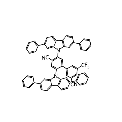 N#Cc1cc(-c2cc(-n3c4cc(-c5ccccc5)ccc4c4ccc(-c5ccccc5)cc43)c(C#N)cc2-n2c3cc(-c4ccccc4)ccc3c3ccc(-c4ccccc4)cc32)cc(C(F)(F)F)c1